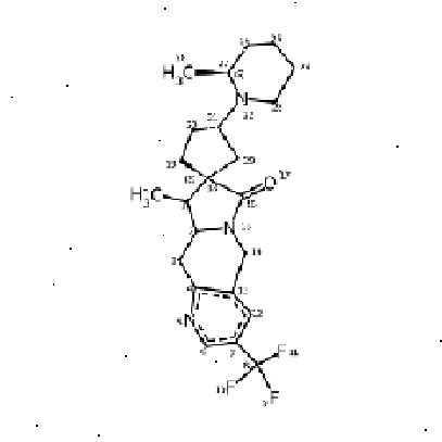 CC1C2Cc3ncc(C(F)(F)F)cc3CN2C(=O)[C@]12CCC(N1CCCC[C@@H]1C)C2